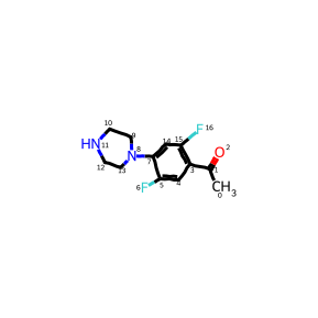 CC(=O)c1cc(F)c(N2CCNCC2)cc1F